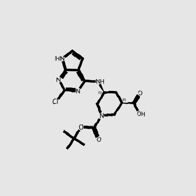 CC(C)(C)OC(=O)N1C[C@@H](Nc2nc(Cl)nc3[nH]ccc23)C[C@@H](C(=O)O)C1